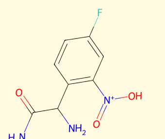 NC(=O)C(N)c1ccc(F)cc1[N+](=O)O